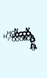 CC1CN(C2CCN(Cc3cc(N(C)C)c4c(c3O)C(=O)C3=C(O)C5C(=O)C(C(N)=O)=C(O)[C@@H](N(C)C)C5CC3C4)CC2)CC(C)O1